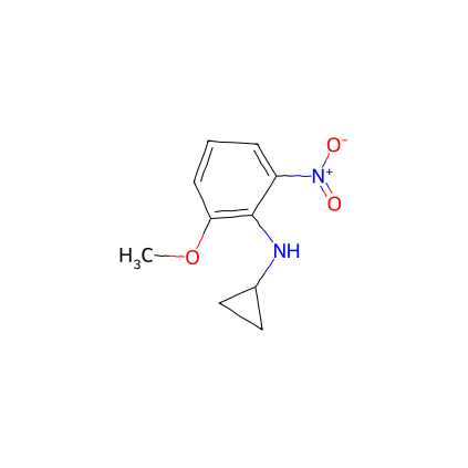 COc1cccc([N+](=O)[O-])c1NC1CC1